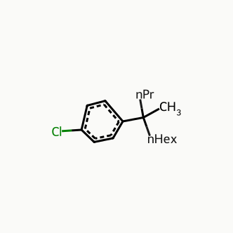 CCCCCCC(C)(CCC)c1ccc(Cl)cc1